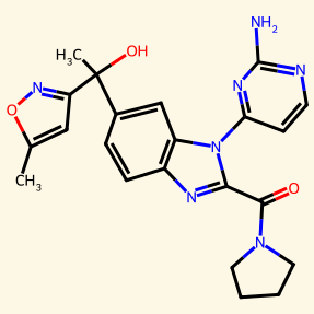 Cc1cc(C(C)(O)c2ccc3nc(C(=O)N4CCCC4)n(-c4ccnc(N)n4)c3c2)no1